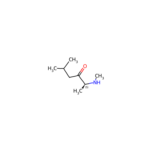 CN[C@@H](C)C(=O)CC(C)C